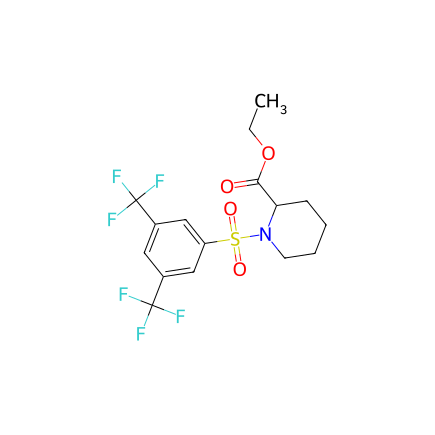 CCOC(=O)C1CCCCN1S(=O)(=O)c1cc(C(F)(F)F)cc(C(F)(F)F)c1